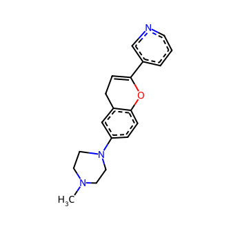 CN1CCN(c2ccc3c(c2)CC=C(c2cccnc2)O3)CC1